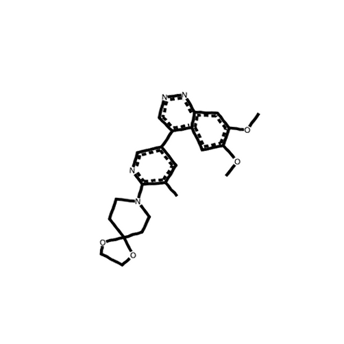 COc1cc2nncc(-c3cnc(N4CCC5(CC4)OCCO5)c(C)c3)c2cc1OC